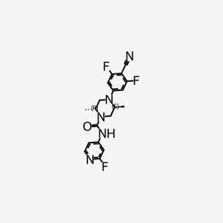 C[C@@H]1CN(c2cc(F)c(C#N)c(F)c2)[C@@H](C)CN1C(=O)Nc1ccnc(F)c1